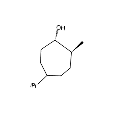 CC(C)C1CC[C@H](C)[C@@H](O)CC1